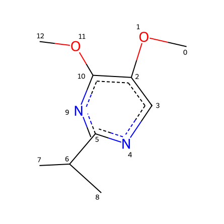 COc1cnc(C(C)C)nc1OC